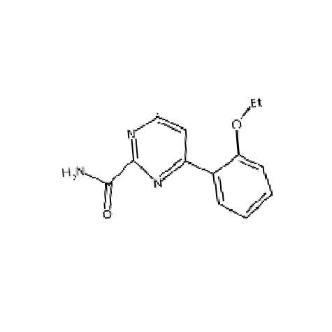 CCOc1ccccc1-c1c[c]nc(C(N)=O)n1